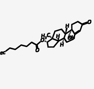 CCCCCCCCCCCCCCCC(=O)O[C@H]1CC[C@H]2[C@@H]3CCC4=CC(=O)CC[C@]4(CO)[C@H]3CC[C@]12C